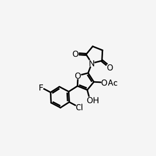 CC(=O)Oc1c(N2C(=O)CCC2=O)oc(-c2cc(F)ccc2Cl)c1O